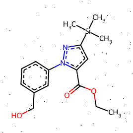 CCOC(=O)c1cc([Si](C)(C)C)nn1-c1cccc(CO)c1